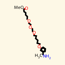 COC(=O)CCCCCOCCOCCOCCCCCCOc1cccc([C@@H](C)N)c1